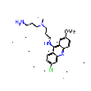 COc1ccc2nc3cc(Cl)ccc3c(NCCCN(C)CCCN)c2c1